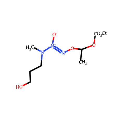 CCOC(=O)OC(C)ON=[N+]([O-])N(C)CCCO